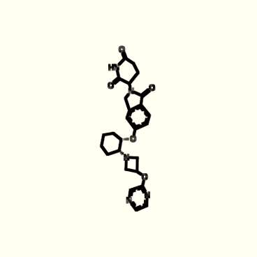 O=C1CCC(N2Cc3cc(O[C@H]4CCCC[C@H]4N4CC(Oc5cnccn5)C4)ccc3C2=O)C(=O)N1